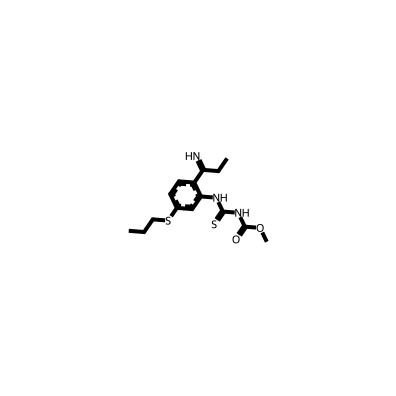 CCCSc1ccc(C(=N)CC)c(NC(=S)NC(=O)OC)c1